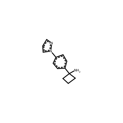 NC1(c2ccc(-n3cccn3)cc2)CCC1